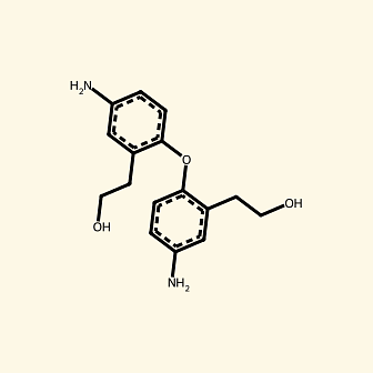 Nc1ccc(Oc2ccc(N)cc2CCO)c(CCO)c1